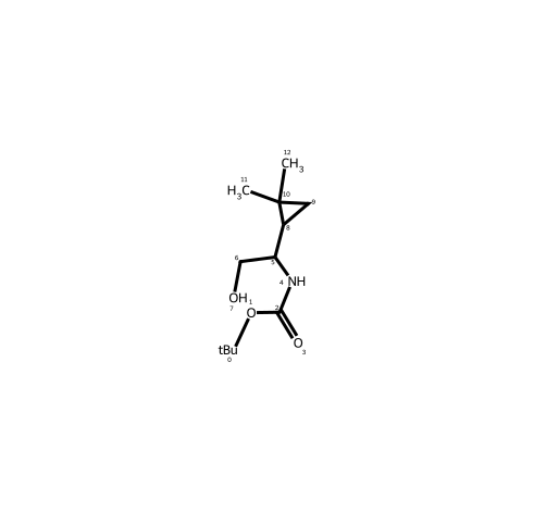 CC(C)(C)OC(=O)NC(CO)C1CC1(C)C